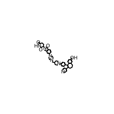 O=C1CCC(N2Cc3cc(N4CCN(CC5CCN(c6ccc(C7=C(c8ccncc8)CCCc8cc(O)ccc87)cc6)CC5)CC4)ccc3C2=O)C(=O)N1